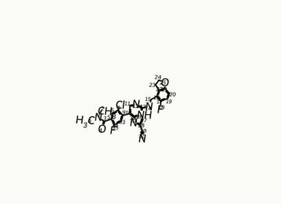 CN(C)C(=O)c1cc(Cl)c(-c2cnc(NCc3c(F)ccc4c3CCO4)n3cc(C#N)nc23)cc1F